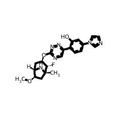 CO[C@@H]1C[C@]2(C)N[C@H]1C[C@@H](Oc1ncc(-c3ccc(-n4ccnc4)cc3O)nn1)[C@@H]2F